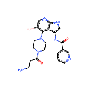 Bc1cnc2[nH]cc(NC(=O)c3cccnc3)c2c1N1CCN(C(=O)CCN)CC1